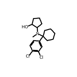 CN(C1CCCC1O)C1(c2ccc(Cl)c(Cl)c2)CCCCC1